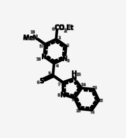 CCOC(=O)c1cnc(C(=S)c2nc3ccccc3[nH]2)nc1NC